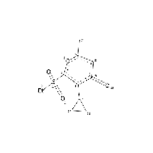 CCS(=O)(=O)c1oc(C)cc(=O)c1C1CC1